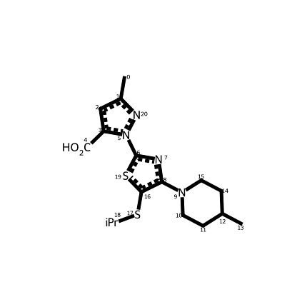 Cc1cc(C(=O)O)n(-c2nc(N3CCC(C)CC3)c(SC(C)C)s2)n1